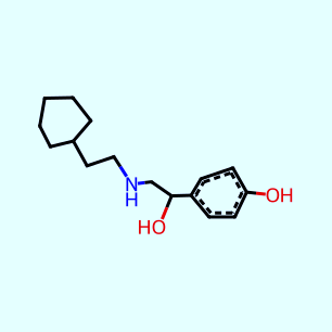 Oc1ccc(C(O)CNCCC2CCCCC2)cc1